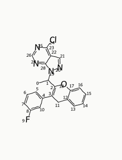 CC(C1=C(c2cccc(F)c2)Cc2ccccc2O1)n1ncc2c(Cl)ncnc21